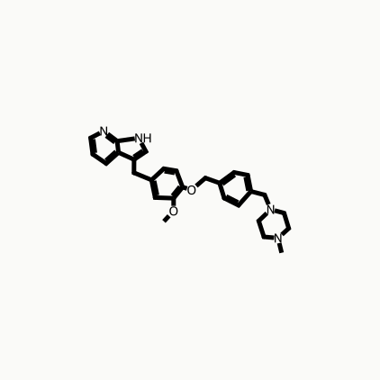 COc1cc(Cc2c[nH]c3ncccc23)ccc1OCc1ccc(CN2CCN(C)CC2)cc1